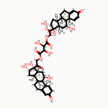 C[C@]12C=CC(=O)C=C1CC[C@H]1[C@@H]3C[C@@H](O)[C@](O)(C(=O)COC(=O)C(O)C(O)C(=O)OCC(=O)[C@]4(O)[C@@H](O)C[C@@H]5[C@H]6CCC7=CC(=O)C=C[C@@]7(C)[C@]6(F)[C@H](O)C[C@]54C)[C@@]3(C)C[C@H](O)[C@@]12F